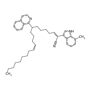 CCCCCCCC/C=C\CCCC(CCCC/C=C(\C#N)c1c[nH]c2c(C)cccc12)c1nccc2ccccc12